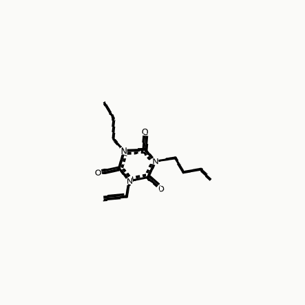 C=Cn1c(=O)n(CCC)c(=O)n(CCCC)c1=O